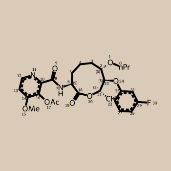 CCCO[C@H]1CCC[C@H](NC(=O)c2nccc(OC)c2OC(C)=O)C(=O)O[C@@H](C)[C@@H]1Oc1cccc(F)c1